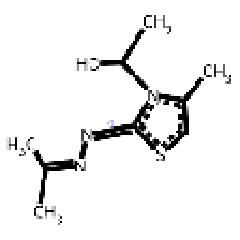 CC(C)=N/N=c1\scc(C)n1C(C)O